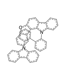 c1ccc(-n2c3ccccc3c3ccccc32)c(-c2ccccc2-n2c3ccccc3c3ccc4oc5ccccc5c4c32)c1